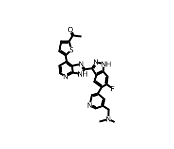 CC(=O)c1ccc(-c2ccnc3[nH]c(-c4n[nH]c5cc(F)c(-c6cncc(CN(C)C)c6)cc45)nc23)s1